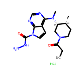 C[C@@H]1CCN(C(=O)CC#N)C[C@@H]1N(C)c1ncnc2c1ccn2C(=O)NN.Cl